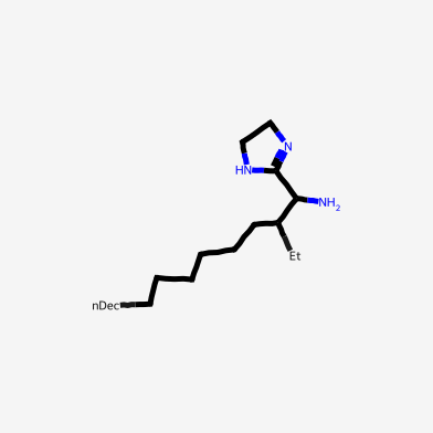 CCCCCCCCCCCCCCCCC(CC)C(N)C1=NCCN1